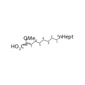 CCCCCCCCCCCCC/C=C(\OC)C(=O)O